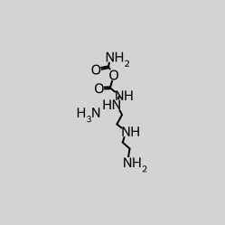 N.NCCNCCNNC(=O)OC(N)=O